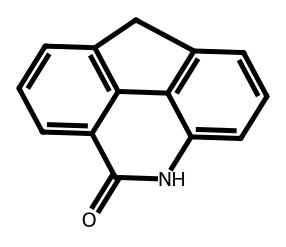 O=c1[nH]c2cccc3c2c2c(cccc12)C3